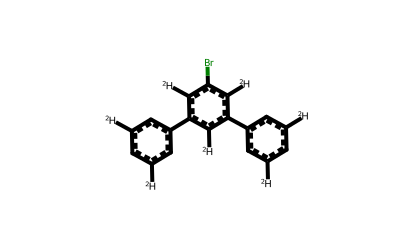 [2H]c1cc([2H])cc(-c2c([2H])c(Br)c([2H])c(-c3cc([2H])cc([2H])c3)c2[2H])c1